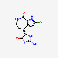 NC1=NC(=O)/C(=C2\CCNC(=O)c3[nH]c(Br)cc32)N1